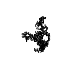 CC(C)(C)OC(=O)Nc1cccc(N[C@H]2CCCCC/C=C\[C@@H]3C[C@@]3(C(=O)NS(=O)(=O)C3(C)CC3)NC(=O)[C@@H]3C[C@@H](OC(=O)N4Cc5cccc(F)c5C4)CN3C2=O)c1